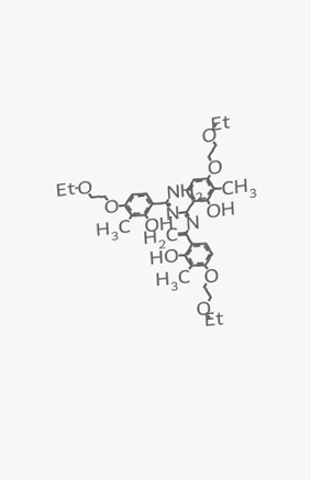 C=C(/N=C(\N=C(/N)c1ccc(OCCOCC)c(C)c1O)c1ccc(OCCOCC)c(C)c1O)c1ccc(OCCOCC)c(C)c1O